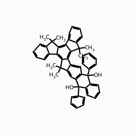 CC1(C)c2ccccc2-c2c1c1c(c3c2C(C)(C)c2cc4c(cc2-3)C(O)(c2ccccc2)c2ccccc2C4(O)c2ccccc2)C(C)(C)c2ccccc2-1